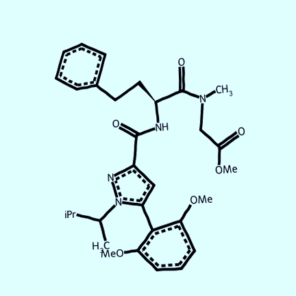 COC(=O)CN(C)C(=O)[C@H](CCc1ccccc1)NC(=O)c1cc(-c2c(OC)cccc2OC)n(C(C)C(C)C)n1